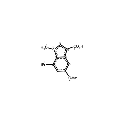 COc1cc(C(C)C)c2c(c1)c(C(=O)O)cn2C